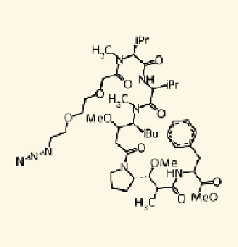 CCC(C)[C@@H](C(CC(=O)N1CCC[C@H]1C(OC)C(C)C(=O)NC(Cc1ccccc1)C(=O)OC)OC)N(C)C(=O)[C@@H](NC(=O)[C@H](C(C)C)N(C)C(=O)COCCOCCN=[N+]=[N-])C(C)C